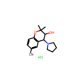 CC1(C)Oc2ccc(C#N)cc2C(N2CCCC2)C1O.Cl